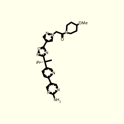 COC1CCN(C(=O)Cn2cc(-c3nc([C@@](C)(c4ccc(-c5cnc(N)nc5)nc4)C(C)C)no3)cn2)CC1